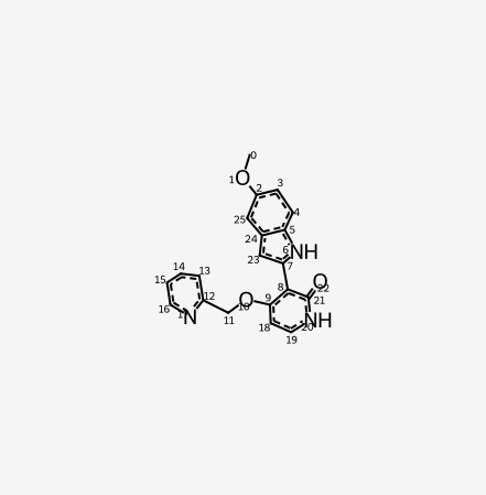 COc1ccc2[nH]c(-c3c(OCc4ccccn4)cc[nH]c3=O)cc2c1